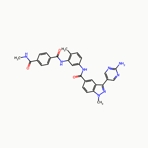 CNC(=O)c1ccc(C(=O)Nc2cc(NC(=O)c3ccc4c(c3)c(-c3cnc(N)nc3)nn4C)ccc2C)cc1